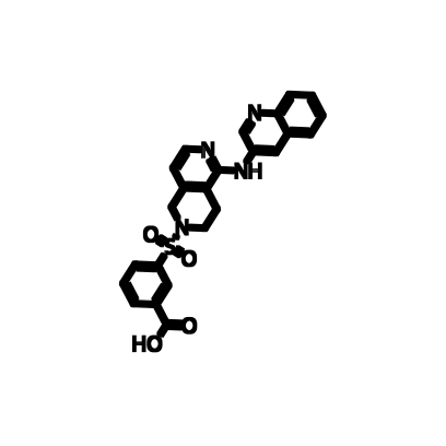 O=C(O)c1cccc(S(=O)(=O)N2CCc3c(ccnc3Nc3cnc4ccccc4c3)C2)c1